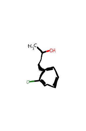 CC(O)Cc1ccccc1Cl